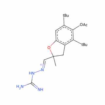 CC(=O)Oc1c(C(C)(C)C)cc2c(c1C(C)(C)C)CC(C)(/C=N/NC(=N)N)O2